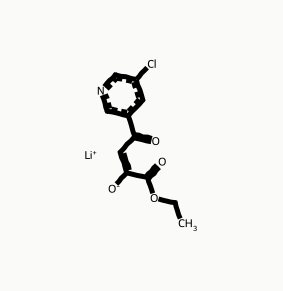 CCOC(=O)/C([O-])=C\C(=O)c1cncc(Cl)c1.[Li+]